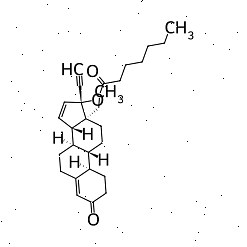 C#C[C@]1(OC(=O)CCCCCC)C=C[C@H]2[C@@H]3CCC4=CC(=O)CC[C@@H]4[C@H]3CC[C@@]21CC